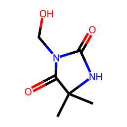 CC1(C)NC(=O)N(CO)C1=O